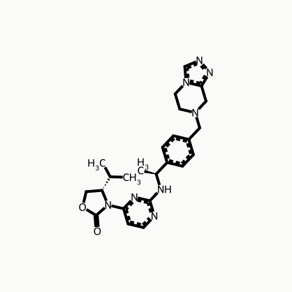 CC(C)[C@H]1COC(=O)N1c1ccnc(N[C@@H](C)c2ccc(CN3CCn4cnnc4C3)cc2)n1